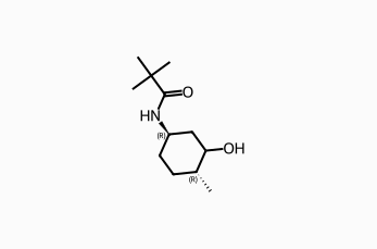 C[C@@H]1CC[C@@H](NC(=O)C(C)(C)C)CC1O